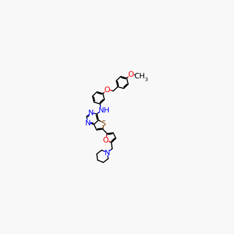 COc1ccc(COc2cccc(Nc3ncnc4cc(-c5ccc(CN6CCCCC6)o5)sc34)c2)cc1